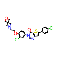 O=c1c2sc(-c3ccc(Cl)cc3)cc2ncn1-c1c#cc(OCCN2CC3(COC3)C2)c(Cl)c1